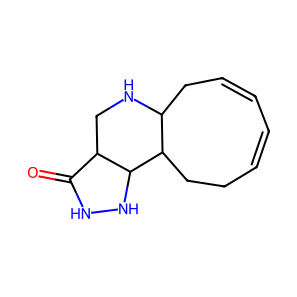 O=C1NNC2C1CNC1C/C=C\C=C/CCC12